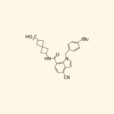 CC(C)(C)c1ccc(Cn2ccc3c(C#N)ccc(C(=O)NC4CC5(C4)CC(C(=O)O)C5)c32)cc1